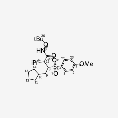 COc1ccc(S(=O)(=O)C(CC2CCCC2)C(C(=O)NOC(C)(C)C)C(C)C)cc1